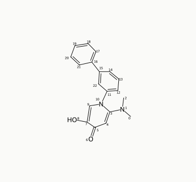 CN(C)c1cc(=O)c(O)cn1-c1cccc(-c2ccccc2)c1